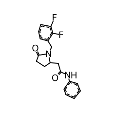 O=C(CC1CCC(=O)N1Cc1cccc(F)c1F)Nc1ccccc1